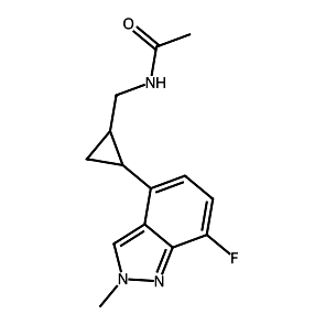 CC(=O)NCC1CC1c1ccc(F)c2nn(C)cc12